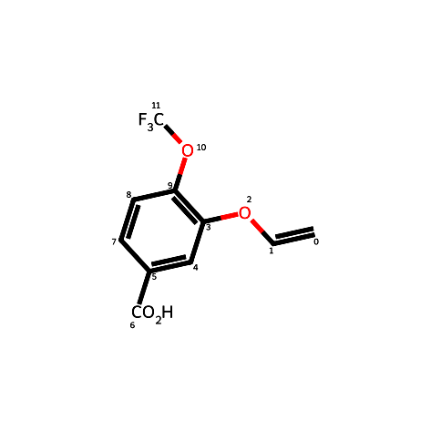 C=COc1cc(C(=O)O)ccc1OC(F)(F)F